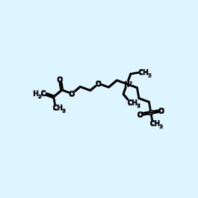 C=C(C)C(=O)OCCOCC[N+](CC)(CC)CCCS(C)(=O)=O